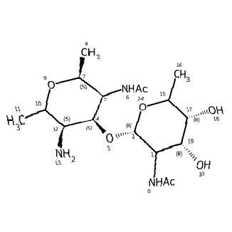 CC(=O)NC1[C@H](O[C@@H]2C(NC(C)=O)[C@H](C)OC(C)[C@@H]2N)OC(C)[C@H](O)[C@@H]1O